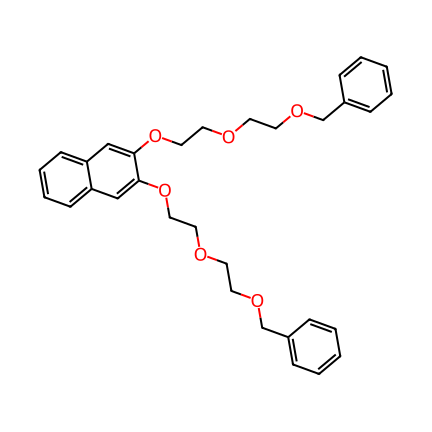 c1ccc(COCCOCCOc2cc3ccccc3cc2OCCOCCOCc2ccccc2)cc1